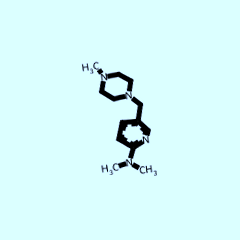 CN1CCN(Cc2ccc(N(C)C)nc2)CC1